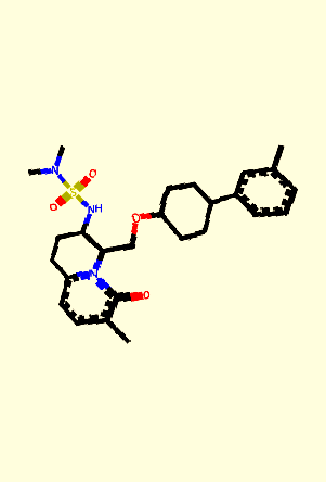 Cc1cccc(C2CCC(OCC3C(NS(=O)(=O)N(C)C)CCc4ccc(C)c(=O)n43)CC2)c1